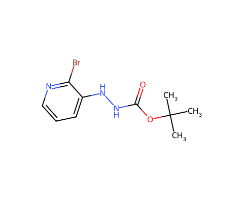 CC(C)(C)OC(=O)NNc1cccnc1Br